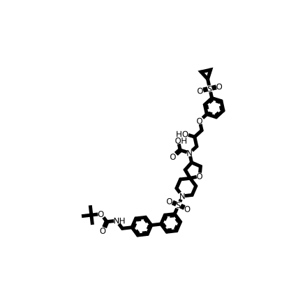 CC(C)(C)OC(=O)NCc1ccc(-c2cccc(S(=O)(=O)N3CCC4(CC3)CC(N(CC(O)COc3cccc(S(=O)(=O)C5CC5)c3)C(=O)O)CO4)c2)cc1